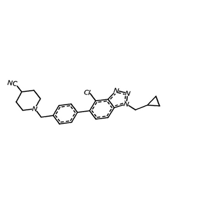 N#CC1CCN(Cc2ccc(-c3ccc4c(nnn4CC4CC4)c3Cl)cc2)CC1